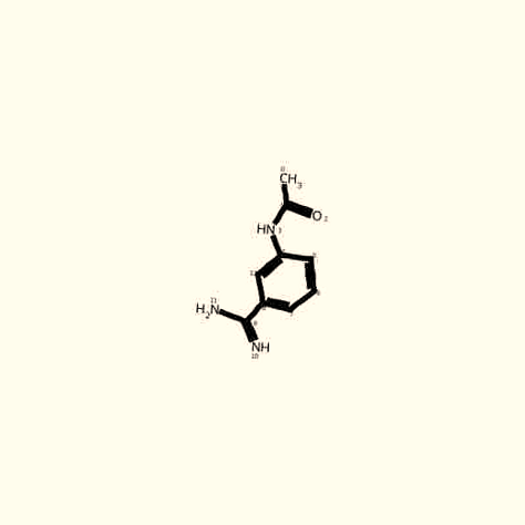 CC(=O)Nc1cccc(C(=N)N)c1